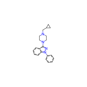 c1ccc(-n2nc(N3CCN(CC4CC4)CC3)c3ccccc32)cc1